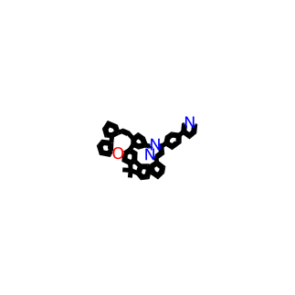 CC1(C)c2ccccc2-c2cc3c(cc21)Oc1ccccc1-c1ccccc1/C=C\c1ccc(-c2nc(-c4ccccc4)cc(-c4ccc(-c5cccnc5)cc4)n2)cc1-3